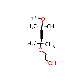 CCCOC(C)(C)C#CC(C)(C)OCCO